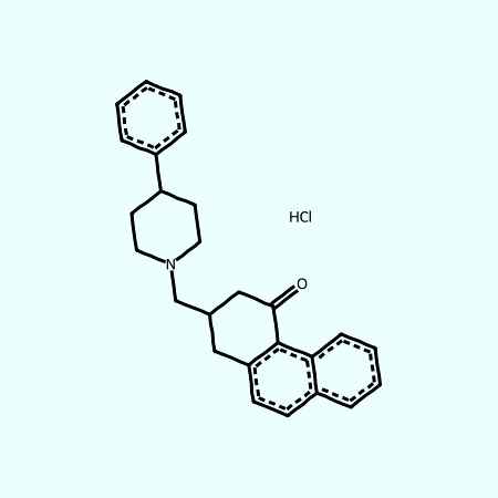 Cl.O=C1CC(CN2CCC(c3ccccc3)CC2)Cc2ccc3ccccc3c21